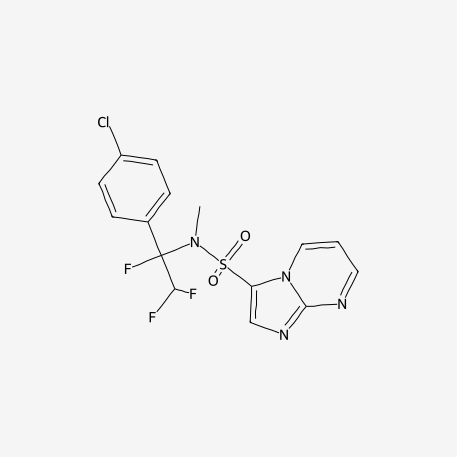 CN(C(F)(c1ccc(Cl)cc1)C(F)F)S(=O)(=O)c1cnc2ncccn12